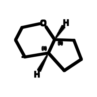 [CH]1CCO[C@H]2CCC[C@@H]12